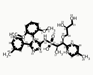 COc1cccc(OC)c1-n1c(NS(=O)(=O)[C@H](C)[C@@H](OC[C@@H](O)CO)c2ncc(C)cn2)nnc1-c1cncc(C)c1